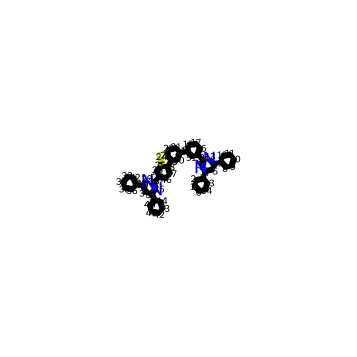 c1ccc(-c2cc(-c3ccccc3)nc(-c3cccc(-c4ccc5sc6cc(-c7nc(-c8ccccc8)cc(-c8ccccc8)n7)ccc6c5c4)c3)n2)cc1